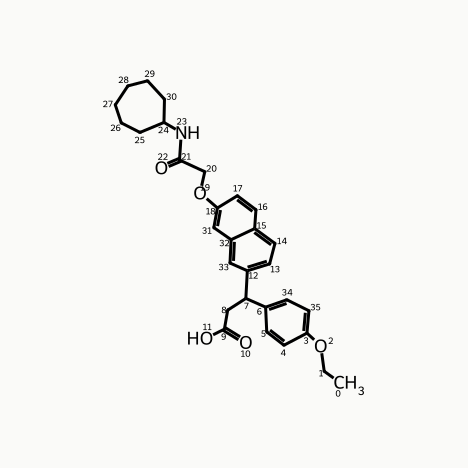 CCOc1ccc(C(CC(=O)O)c2ccc3ccc(OCC(=O)NC4CCCCCC4)cc3c2)cc1